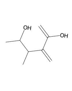 C=C(O)C(=C)C(C)C(C)O